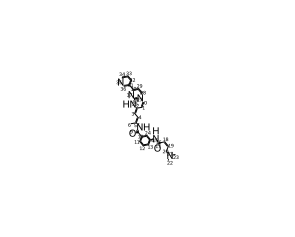 C=C/C(=C\C=C(/C)NC(=O)c1cccc(NC(=O)/C=C\CN(C)C)c1)Nc1nccc(-c2cccnc2)n1